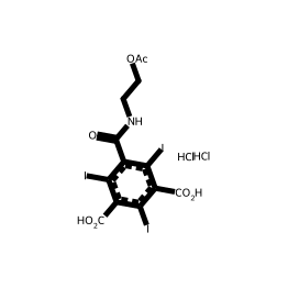 CC(=O)OCCNC(=O)c1c(I)c(C(=O)O)c(I)c(C(=O)O)c1I.Cl.Cl